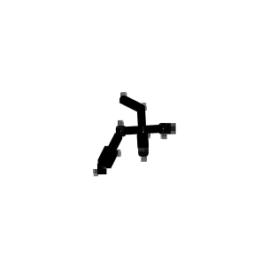 CCP(=O)(O)OC#N